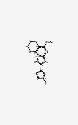 COc1nc2nc(-c3nc(C)cs3)cn2c2c1CCCC2